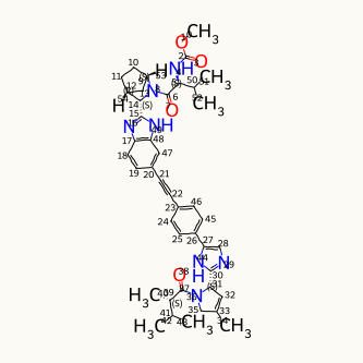 COC(=O)N[C@H](C(=O)N1[C@H]2CC[C@H](C2)[C@H]1c1nc2ccc(C#Cc3ccc(-c4cnc([C@@H]5C=C(C)CN5C(=O)[C@@H](C)C(C)C)[nH]4)cc3)cc2[nH]1)C(C)C